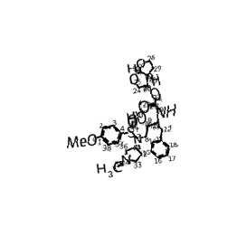 COc1ccc([S+]([O-])N(C[C@@H](O)[C@H](Cc2ccccc2)NC(=O)O[C@H]2CO[C@H]3OCC[C@H]32)[C@@H]2CCN(C)C2)cc1